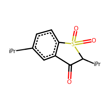 CC(C)c1ccc2c(c1)C(=O)C(C(C)C)S2(=O)=O